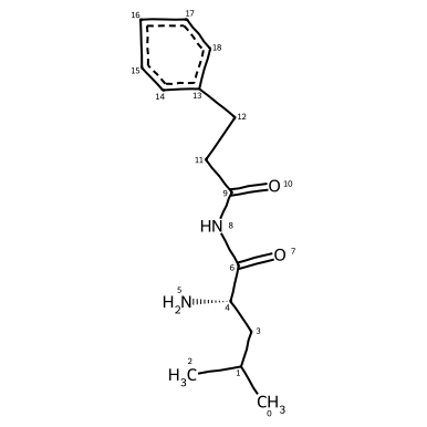 CC(C)C[C@H](N)C(=O)NC(=O)CCc1ccccc1